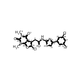 Cn1c(=O)c2c(CC(=O)Nc3nc(-c4cc(F)cc(Cl)c4)cs3)c(Cl)oc2n(C)c1=O